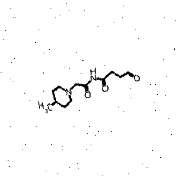 CC1CCN(CC(=O)NC(=O)CCC=O)CC1